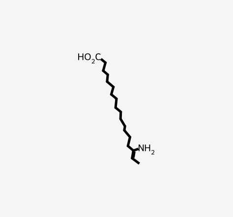 CC=C(N)CCCCCCCCCCCCCCC(=O)O